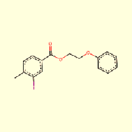 Cc1ccc(C(=O)OCCOc2ccccc2)cc1I